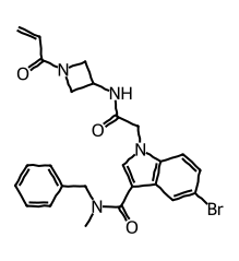 C=CC(=O)N1CC(NC(=O)Cn2cc(C(=O)N(C)Cc3ccccc3)c3cc(Br)ccc32)C1